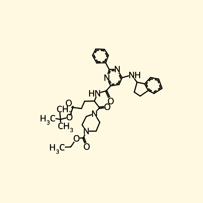 CCOC(=O)N1CCN(C(=O)C(CCC(=O)OC(C)(C)C)NC(=O)c2cc(NC3CCc4ccccc43)nc(-c3ccccc3)n2)CC1